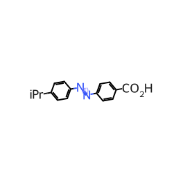 CC(C)c1ccc(/N=N/c2ccc(C(=O)O)cc2)cc1